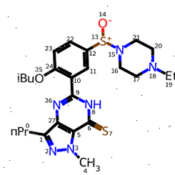 CCCc1nn(C)c2c(=S)[nH]c(-c3cc([S+]([O-])N4CCN(CC)CC4)ccc3OCC(C)C)nc12